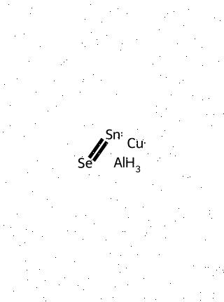 [AlH3].[Cu].[Se]=[Sn]